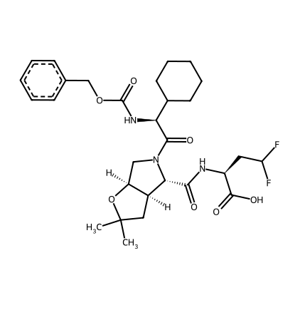 CC1(C)C[C@H]2[C@H](CN(C(=O)[C@@H](NC(=O)OCc3ccccc3)C3CCCCC3)[C@@H]2C(=O)N[C@@H](CC(F)F)C(=O)O)O1